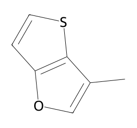 Cc1coc2ccsc12